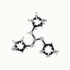 c1[nH]nnc1OB(Oc1c[nH]nn1)Oc1c[nH]nn1